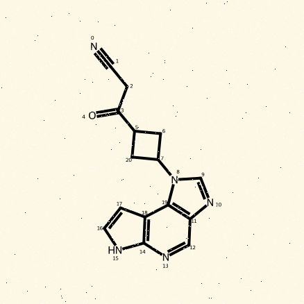 N#CCC(=O)C1CC(n2cnc3cnc4[nH]ccc4c32)C1